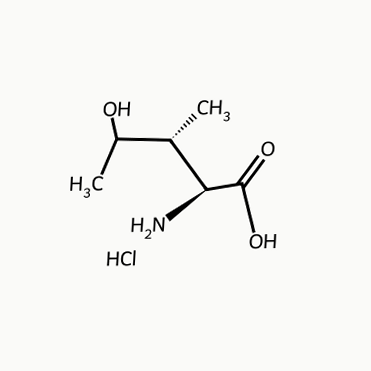 CC(O)[C@H](C)[C@H](N)C(=O)O.Cl